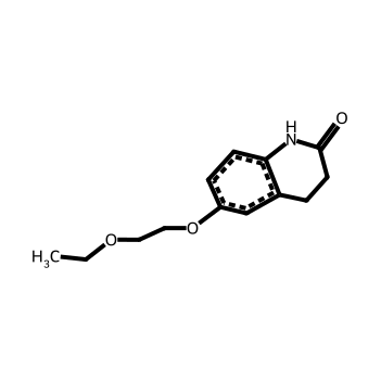 CCOCCOc1ccc2c(c1)CCC(=O)N2